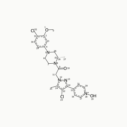 COc1cc(N2CCN(C(=O)Cn3nc(-c4cc[n+](O)cc4)c(Cl)c3C)[C@@H](C)C2)ccc1Cl